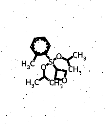 Cc1ccccc1[Si](OC(C)C)(OC(C)C)C1COC1